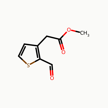 COC(=O)Cc1ccsc1C=O